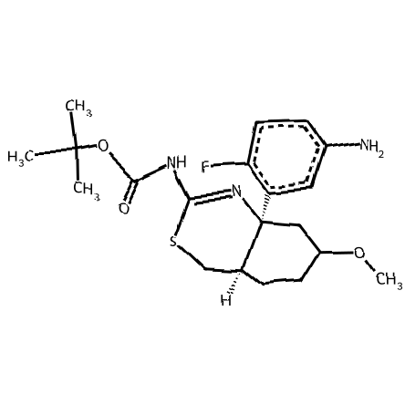 COC1CC[C@H]2CSC(NC(=O)OC(C)(C)C)=N[C@@]2(c2cc(N)ccc2F)C1